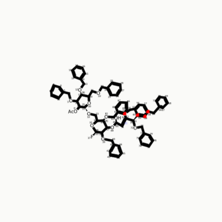 CC(=O)OC1C(OCc2ccccc2)[C@H](OCc2ccccc2)C(COCc2ccccc2)O[C@@H]1OCC1O[C@H](F)C(OCc2ccccc2)C(O[C@@H](O)/C=C(\OCc2ccccc2)[C@@H](CCOCc2ccccc2)OCc2ccccc2)[C@@H]1OCc1ccccc1